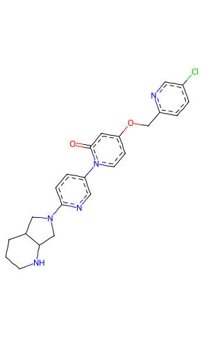 O=c1cc(OCc2ccc(Cl)cn2)ccn1-c1ccc(N2CC3CCCNC3C2)nc1